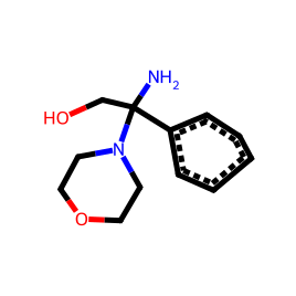 NC(CO)(c1ccccc1)N1CCOCC1